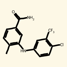 Cc1ccc(C(N)=O)cc1Nc1ccc(Cl)c(C(F)(F)F)c1